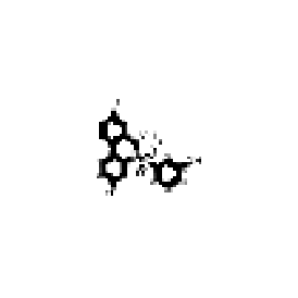 C[C@H]1c2cc(F)ccc2-c2ccc(F)cc2N1S(=O)(=O)c1cccc(O)c1